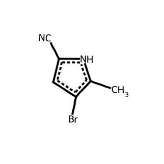 Cc1[nH]c(C#N)cc1Br